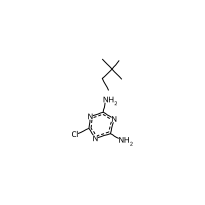 CCC(C)(C)C.Nc1nc(N)nc(Cl)n1